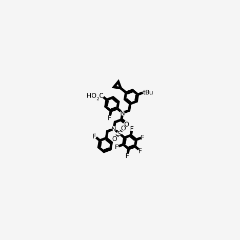 CC(C)(C)c1cc(CN(C(=O)CN(Cc2ccccc2F)S(=O)(=O)c2c(F)c(F)c(F)c(F)c2F)c2ccc(C(=O)O)cc2F)cc(C2CC2)c1